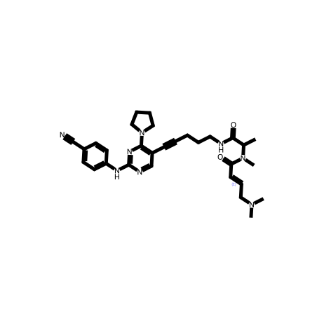 CC(C(=O)NCCCC#Cc1cnc(Nc2ccc(C#N)cc2)nc1N1CCCC1)N(C)C(=O)/C=C/CN(C)C